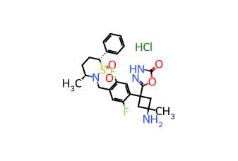 C[C@H]1CC[C@H](c2ccccc2)S(=O)(=O)N1Cc1cc(F)c(C2(c3n[nH]c(=O)o3)CC(C)(N)C2)cc1F.Cl